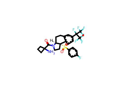 NC1(C(=O)N2CC[C@]3(S(=O)(=O)c4ccc(F)cc4)c4ccc(C(F)(C(F)(F)F)C(F)(F)F)cc4CC[C@H]23)CCC1